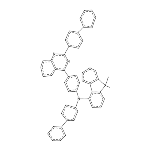 CC1(C)c2ccccc2-c2c(N(c3ccc(-c4ccccc4)cc3)c3ccc(-c4nc(-c5ccc(-c6ccccc6)cc5)nc5ccccc45)cc3)cccc21